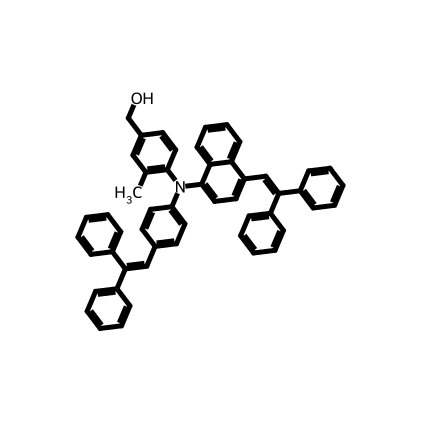 Cc1cc(CO)ccc1N(c1ccc(C=C(c2ccccc2)c2ccccc2)cc1)c1ccc(C=C(c2ccccc2)c2ccccc2)c2ccccc12